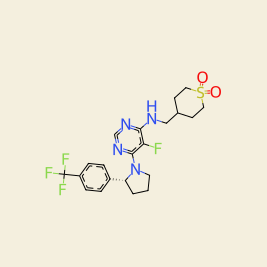 O=S1(=O)CCC(CNc2ncnc(N3CCC[C@@H]3c3ccc(C(F)(F)F)cc3)c2F)CC1